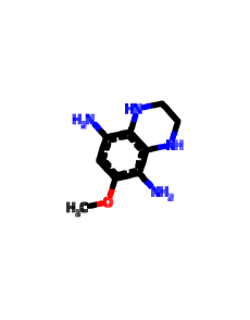 COc1cc(N)c2c(c1N)NCCN2